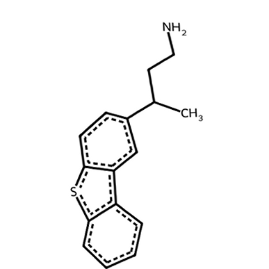 CC(CCN)c1ccc2sc3ccccc3c2c1